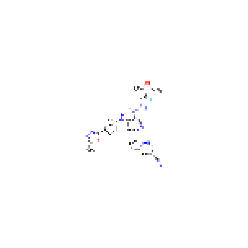 Cc1nnc(C23CCC(Nc4cc(-c5ccc6cc(C#N)cnn56)ncc4C(=O)NC[C@@H](F)C(C)(C)O)(CC2)CC3)o1